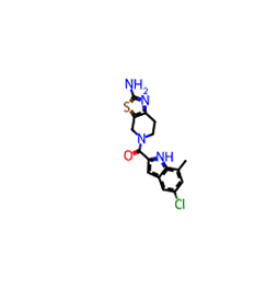 Cc1cc(Cl)cc2cc(C(=O)N3CCc4nc(N)sc4C3)[nH]c12